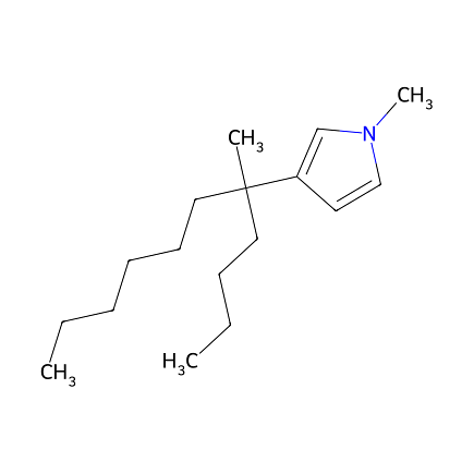 CCCCCCC(C)(CCCC)c1ccn(C)c1